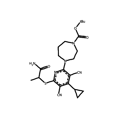 CC(Sc1nc(N2CCCN(C(=O)OC(C)(C)C)CC2)c(C#N)c(C2CC2)c1C#N)C(N)=O